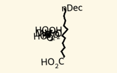 CCCCCCCCCCCCCCCCCCCCCC(=O)O.O.O.O=P(O)(O)O.[MgH2]